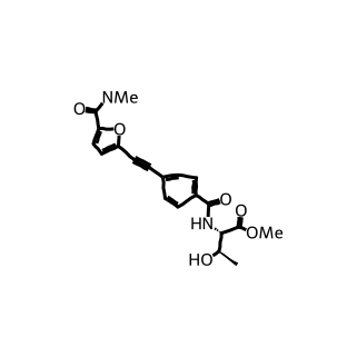 CNC(=O)c1ccc(C#Cc2ccc(C(=O)N[C@H](C(=O)OC)[C@@H](C)O)cc2)o1